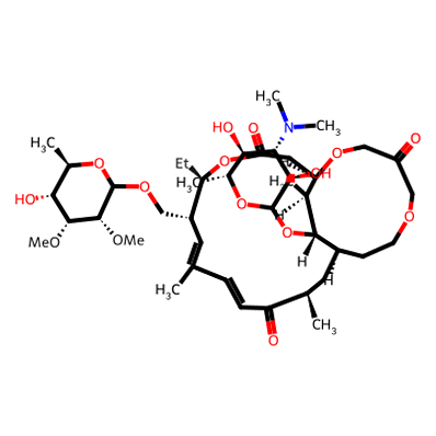 CC[C@H]1OC(=O)C[C@H]2OCC(=O)COCC[C@@H](C[C@@H](C)C(=O)/C=C/C(C)=C/[C@@H]1COC1O[C@H](C)[C@@H](O)[C@@H](OC)[C@H]1OC)[C@H](OC1O[C@H](C)[C@@H](O)[C@H](N(C)C)[C@H]1O)[C@H]2C